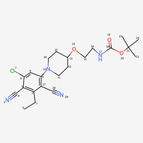 CCc1c(C#N)c(Cl)cc(N2CCC(OCCNC(=O)OC(C)(C)C)CC2)c1C#N